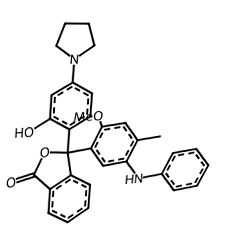 COc1cc(C)c(Nc2ccccc2)cc1C1(c2ccc(N3CCCC3)cc2O)OC(=O)c2ccccc21